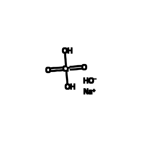 [Na+].[OH-].[O]=[Cr](=[O])([OH])[OH]